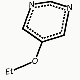 CCOc1cn[c]nc1